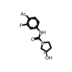 CC(=O)c1ccc(NC(=O)N2CC[C@@H](O)C2)cc1F